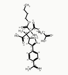 CC(=O)O.CCCCOC(=O)[N+](N)(C(C)=O)[C@@](C)(C(=O)O)C1CC(c2ccc(C(=N)N)cc2)=NO1